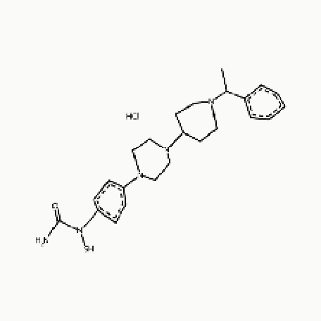 CC(c1ccccc1)N1CCC(N2CCN(c3ccc(N(S)C(N)=O)cc3)CC2)CC1.Cl